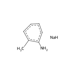 Cc1ccccc1N.[NaH]